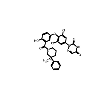 C[C@]1(c2ccccc2)CCCN(C(=O)c2cc(Oc3c(Cl)cc(-n4ncc(=O)[nH]c4=O)cc3Cl)ccc2O)C1